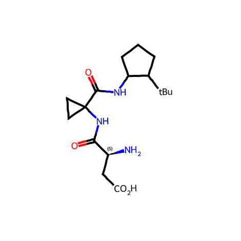 CC(C)(C)C1CCCC1NC(=O)C1(NC(=O)[C@@H](N)CC(=O)O)CC1